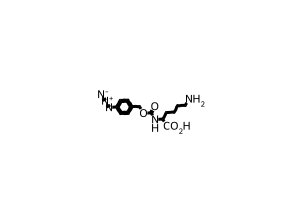 [N-]=[N+]=Nc1ccc(COC(=O)NC(CCCCN)C(=O)O)cc1